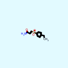 CCc1ccc(S(=O)(=O)C=CC(N)=O)cc1